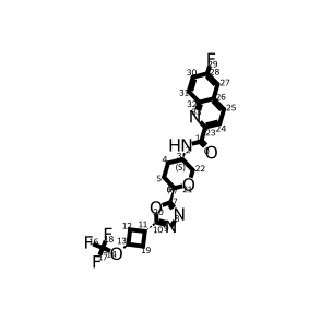 O=C(N[C@H]1CC[C@H](c2nnc([C@H]3C[C@@H](OC(F)(F)F)C3)o2)OC1)c1ccc2cc(F)ccc2n1